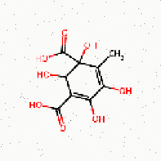 CC1=C(O)C(O)=C(C(=O)O)C(O)C1(O)C(=O)O